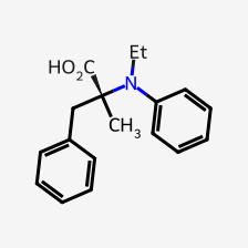 CCN(c1ccccc1)[C@](C)(Cc1ccccc1)C(=O)O